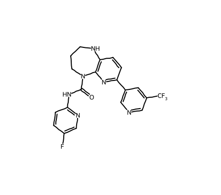 O=C(Nc1ccc(F)cn1)N1CCCNc2ccc(-c3cncc(C(F)(F)F)c3)nc21